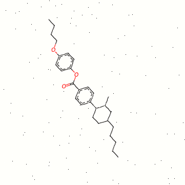 CCCCCC1CCC(c2ccc(C(=O)Oc3ccc(OCCCC)cc3)cc2)C(C)C1